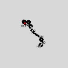 CN(CCN1CCC(c2cccc(-c3ccccc3)c2NC(=O)O)CC1)C(=O)CCCCCNc1ccc(C(=O)N2CCNCC2)cc1